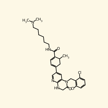 CC1CC(c2cnc3c(c2)N(Cc2c(Cl)cccc2Cl)C(=O)CN3)=CC=C1C(=O)NCCCCCCN(C)C